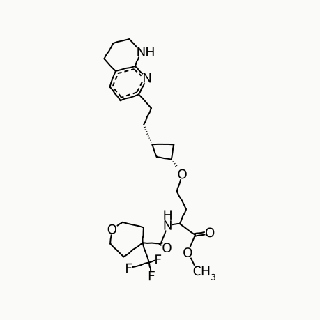 COC(=O)C(CCO[C@H]1C[C@@H](CCc2ccc3c(n2)NCCC3)C1)NC(=O)C1(C(F)(F)F)CCOCC1